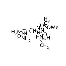 COC[C@@H](C)Oc1nc(C(=O)NC2(C)CC(C)C2)nc(N2CCC(c3ccc(N)c(C(N)=O)n3)CC2)n1